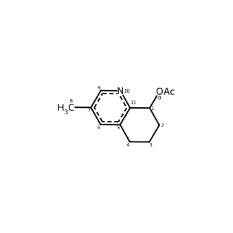 CC(=O)OC1CCCc2cc(C)cnc21